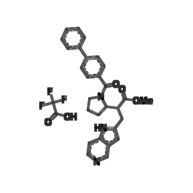 COC(=O)C(Cc1cc2cnccc2[nH]1)C1CCCN1C(=O)c1ccc(-c2ccccc2)cc1.O=C(O)C(F)(F)F